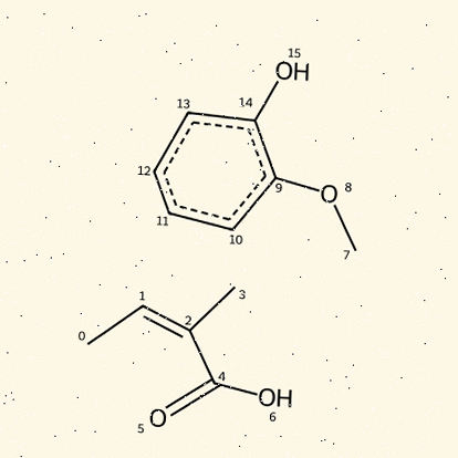 CC=C(C)C(=O)O.COc1ccccc1O